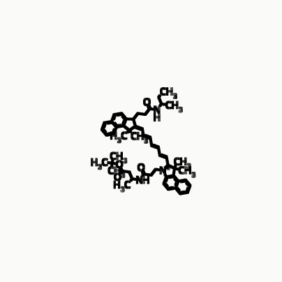 CCC(C)NC(=O)CCC1/C(=C/C=C/C=C/C=C/C2=[N+](CCC(=O)NC(C)CC(=O)OC(C)(C)C)c3ccc4ccccc4c3C2(C)C)C(C)(C)c2c1ccc1ccccc21